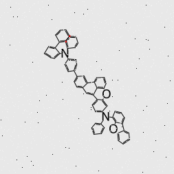 c1ccc(-c2ccccc2N(c2ccccc2)c2ccc(-c3ccc4cc5c6c(cccc6c4c3)Oc3cc(N(c4ccccc4)c4cccc6c4oc4ccccc46)ccc3-5)cc2)cc1